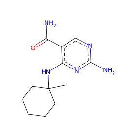 CC1(Nc2nc(N)ncc2C(N)=O)CCCCC1